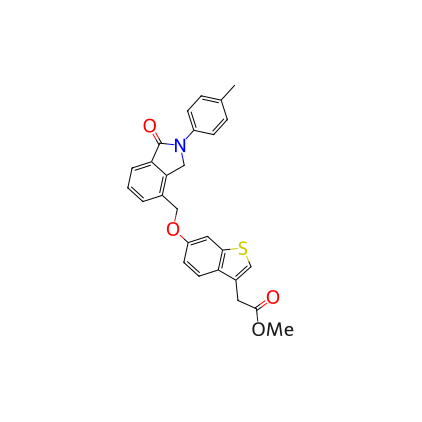 COC(=O)Cc1csc2cc(OCc3cccc4c3CN(c3ccc(C)cc3)C4=O)ccc12